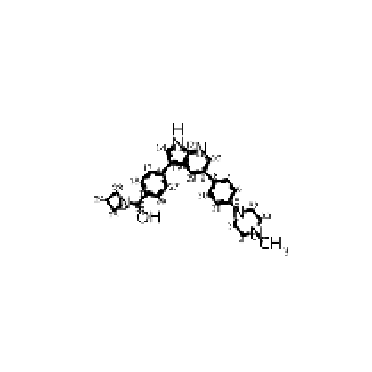 CN1CCN(c2ccc(-c3cnc4[nH]cc(-c5ccc(C(O)N6CCC6)cc5)c4c3)cc2)CC1